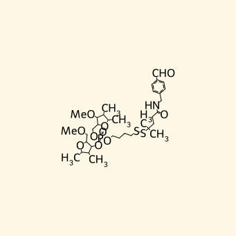 COCC1OC(C)C(C)C1OP(=O)(OCCCCSSC(C)(C)CCC(=O)NCc1ccc(C=O)cc1)OCC1OC(C)C(C)C1OC